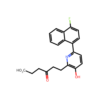 O=C(O)CCC(=O)CCc1nc(-c2ccc(F)c3ccccc23)ccc1O